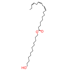 CC/C=C\C/C=C\C/C=C\CCCCCCCC(=O)OCCCCCCCCCCCCCO